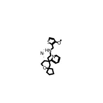 COc1ccsc1CNCCC1(c2ccccn2)CCOC2(CCCC2)C1.[N]